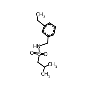 CCc1cccc(CNS(=O)(=O)CC(C)C)c1